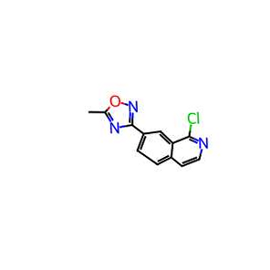 Cc1nc(-c2ccc3ccnc(Cl)c3c2)no1